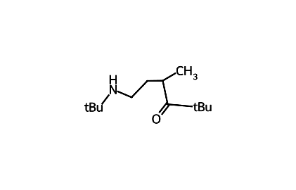 CC(CCNC(C)(C)C)C(=O)C(C)(C)C